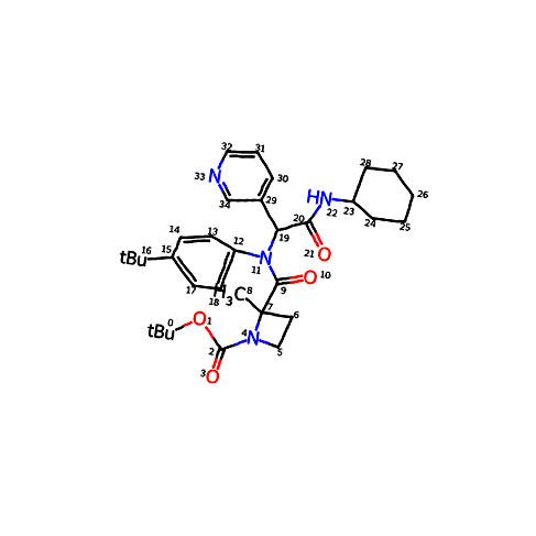 CC(C)(C)OC(=O)N1CCC1(C)C(=O)N(c1ccc(C(C)(C)C)cc1)C(C(=O)NC1CCCCC1)c1cccnc1